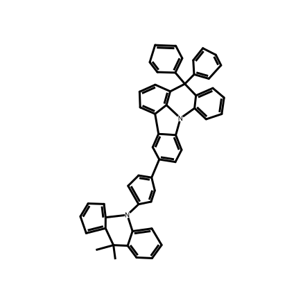 CC1(C)c2ccccc2N(c2ccc(-c3ccc4c(c3)c3cccc5c3n4-c3ccccc3C5(c3ccccc3)c3ccccc3)cc2)c2ccccc21